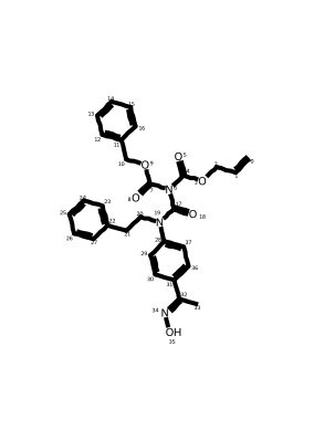 C=CCOC(=O)N(C(=O)OCc1ccccc1)C(=O)N(CCc1ccccc1)c1ccc(C(C)=NO)cc1